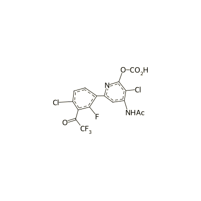 CC(=O)Nc1cc(-c2ccc(Cl)c(C(=O)C(F)(F)F)c2F)nc(OC(=O)O)c1Cl